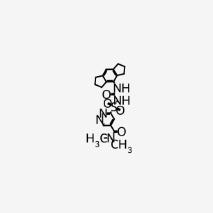 CN(C)C(=O)c1cnnc(S(=O)(=O)NC(=O)Nc2c3c(cc4c2CCC4)CCC3)c1